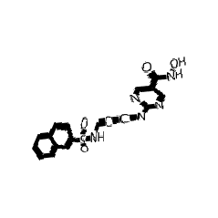 O=C(NO)c1cnc(N=C=C=CNS(=O)(=O)c2ccc3ccccc3c2)nc1